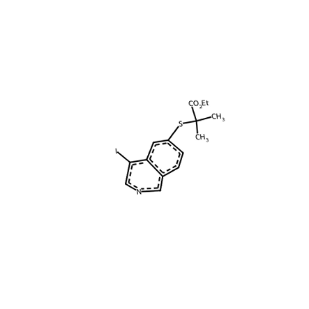 CCOC(=O)C(C)(C)Sc1ccc2cncc(I)c2c1